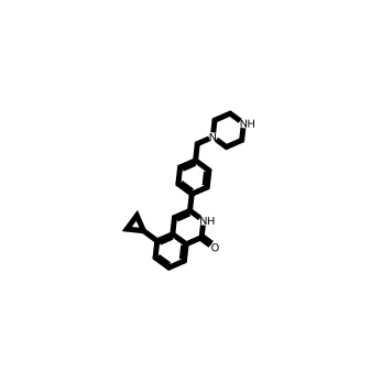 O=c1[nH]c(-c2ccc(CN3CCNCC3)cc2)cc2c(C3CC3)cccc12